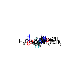 CNC(=O)OCc1cc(F)c(-c2ncc3c(n2)c(I)nn3COCC[Si](C)(C)C)c(C(F)(F)F)c1